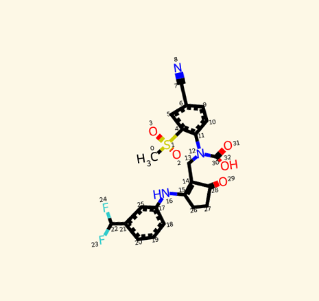 CS(=O)(=O)c1cc(C#N)ccc1N(CC1=C(Nc2cccc(C(F)F)c2)CCC1=O)C(=O)O